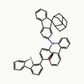 c1ccc(-c2ccccc2N(c2ccc(-c3cccc4c3sc3ccccc34)cc2)c2ccc3c(c2)C2(c4ccccc4-3)C3CC4CC(C3)CC2C4)cc1